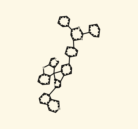 c1ccc(-c2cc(-c3ccc(-c4ccc5c(c4)C4(c6ccccc6Sc6ccccc64)c4cc(-c6cccc7ccncc67)ccc4-5)cc3)nc(-c3ccccc3)n2)cc1